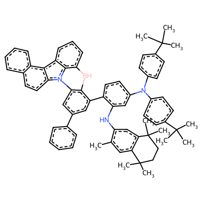 Cc1cc2c(cc1Nc1cc(N(c3ccc(C(C)(C)C)cc3)c3ccc(C(C)(C)C)cc3)ccc1-c1cc(-c3ccccc3)cc3c1Bc1cccc4c5c6ccccc6ccc5n-3c14)C(C)(C)CCC2(C)C